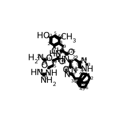 Cc1cc(O)cc(C)c1C[C@H](NC(=O)[C@@H](CCNC(=N)N)OC(N)=O)C(=O)N[C@@H](Cc1c[nH]cn1)c1nc(CC23CC4CC(CC(C4)C2)C3)no1